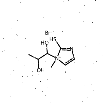 CC(O)C(O)[N+]1(C)C=CN=C1S.[Br-]